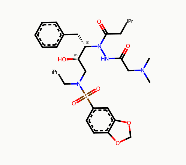 CC(C)CC(=O)N(NC(=O)CN(C)C)[C@@H](Cc1ccccc1)[C@H](O)CN(CC(C)C)S(=O)(=O)c1ccc2c(c1)OCO2